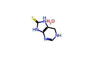 O.S=c1[nH]c2c([nH]1)N=CNC2